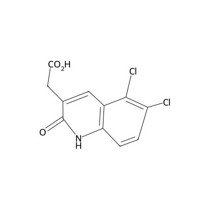 O=C(O)Cc1cc2c(Cl)c(Cl)ccc2[nH]c1=O